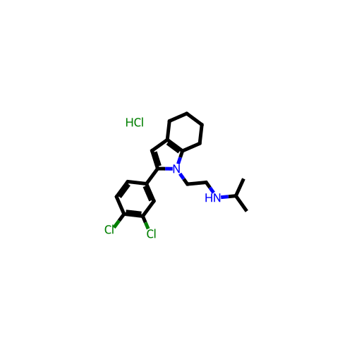 CC(C)NCCn1c(-c2ccc(Cl)c(Cl)c2)cc2c1CCCC2.Cl